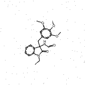 CCN1C(=O)C(Cc2cc(OC)c(OC)c(OC)c2)(NC=O)c2ccccc21